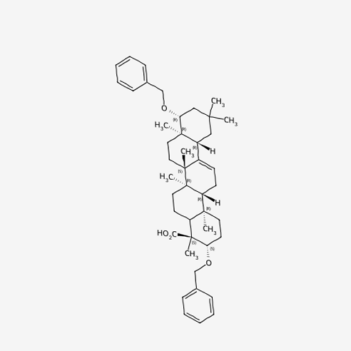 CC1(C)C[C@@H]2C3=CC[C@@H]4[C@@]5(C)CC[C@H](OCc6ccccc6)[C@@](C)(C(=O)O)C5CC[C@@]4(C)[C@]3(C)CC[C@@]2(C)[C@H](OCc2ccccc2)C1